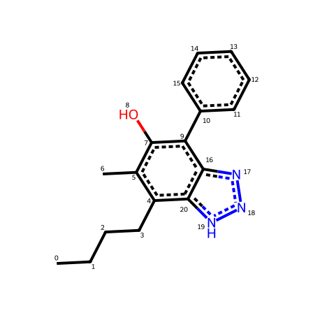 CCCCc1c(C)c(O)c(-c2ccccc2)c2nn[nH]c12